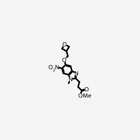 COC(=O)CCc1nc2cc(OCC3COC3)c([N+](=O)[O-])cc2n1C